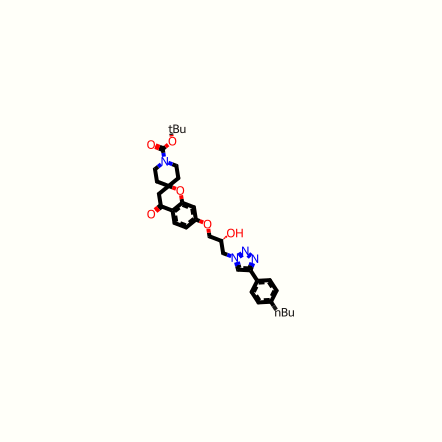 CCCCc1ccc(-c2cn(C[C@@H](O)COc3ccc4c(c3)OC3(CCN(C(=O)OC(C)(C)C)CC3)CC4=O)nn2)cc1